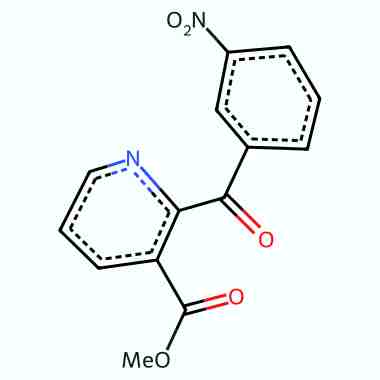 COC(=O)c1cccnc1C(=O)c1cccc([N+](=O)[O-])c1